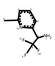 Cc1cccc(C(N)C(F)(F)F)n1